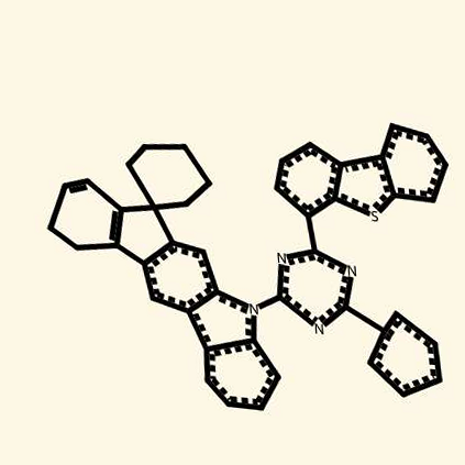 C1=CC2=C(CC1)c1cc3c4ccccc4n(-c4nc(-c5ccccc5)nc(-c5cccc6c5sc5ccccc56)n4)c3cc1C21CCCCC1